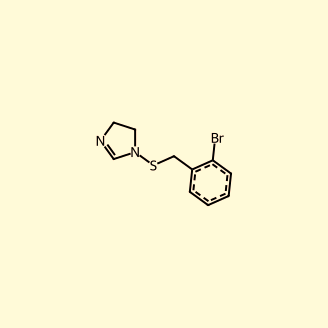 Brc1ccccc1CSN1C=NCC1